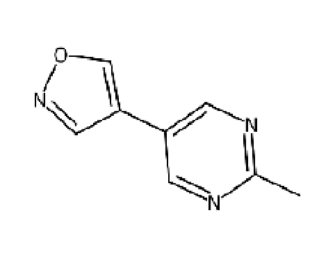 Cc1ncc(-c2cnoc2)cn1